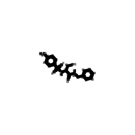 Cc1ccc(S(=O)(=O)NC(CF)C(=O)NCc2ccccc2)cc1